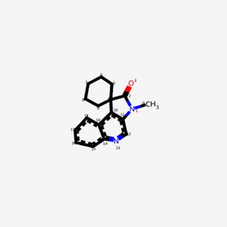 CN1C(=O)C2(CCCCC2)c2c1cnc1ccccc21